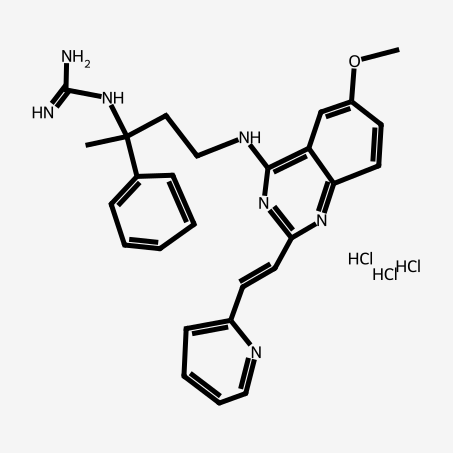 COc1ccc2nc(/C=C/c3ccccn3)nc(NCCC(C)(NC(=N)N)c3ccccc3)c2c1.Cl.Cl.Cl